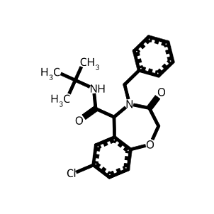 CC(C)(C)NC(=O)C1c2cc(Cl)ccc2OCC(=O)N1Cc1ccccc1